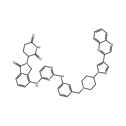 O=C1CCC(N2Cc3c(Nc4ccnc(Nc5cccc(CN6CCC(n7cc(-c8cnc9ccccc9n8)cn7)CC6)c5)n4)cccc3C2=O)C(=O)N1